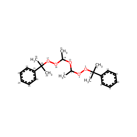 CC(OOC(C)(C)c1ccccc1)OC(C)OOC(C)(C)c1ccccc1